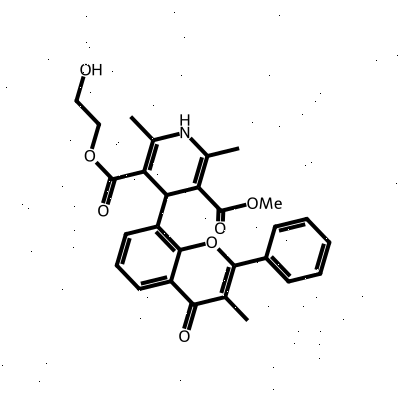 COC(=O)C1=C(C)NC(C)=C(C(=O)OCCO)C1c1cccc2c(=O)c(C)c(-c3ccccc3)oc12